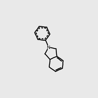 C1=CCC2CN(c3ccccc3)CC2=C1